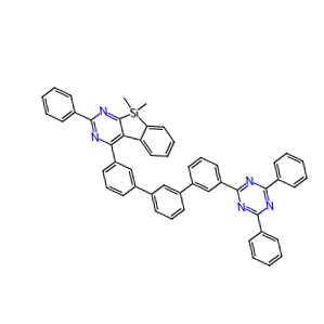 C[Si]1(C)c2ccccc2-c2c(-c3cccc(-c4cccc(-c5cccc(-c6nc(-c7ccccc7)nc(-c7ccccc7)n6)c5)c4)c3)nc(-c3ccccc3)nc21